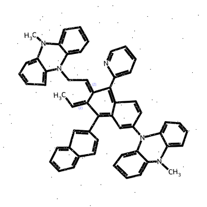 C/C=c1/c(-c2ccc3ccccc3c2)c2cc(N3c4ccccc4N(C)c4ccccc43)ccc2c(-c2ccccn2)/c1=C/CN1c2ccccc2N(C)c2ccccc21